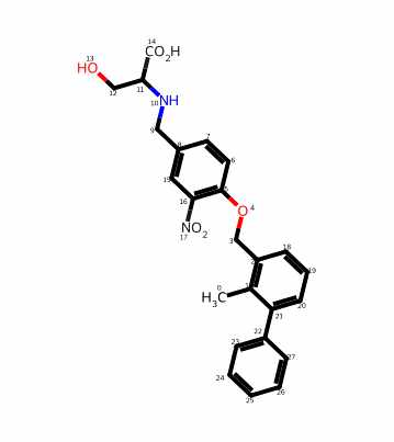 Cc1c(COc2ccc(CNC(CO)C(=O)O)cc2[N+](=O)[O-])cccc1-c1ccccc1